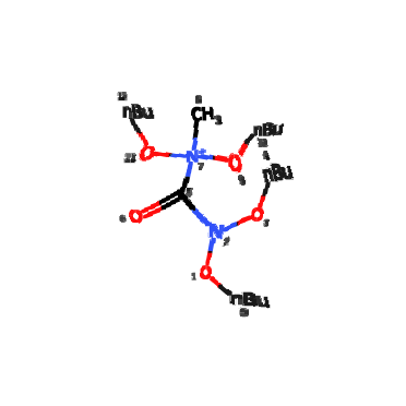 CCCCON(OCCCC)C(=O)[N+](C)(OCCCC)OCCCC